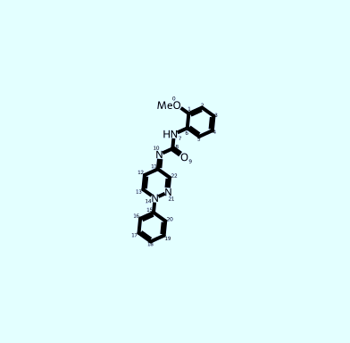 COc1ccccc1NC(=O)/N=c1/ccn(-c2ccccc2)nc1